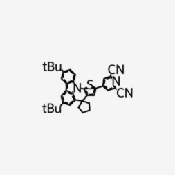 CC(C)(C)c1ccc2c(c1)c1cc(C(C)(C)C)cc3c1n2-c1sc(-c2cc(C#N)nc(C#N)c2)cc1C31CCCC1